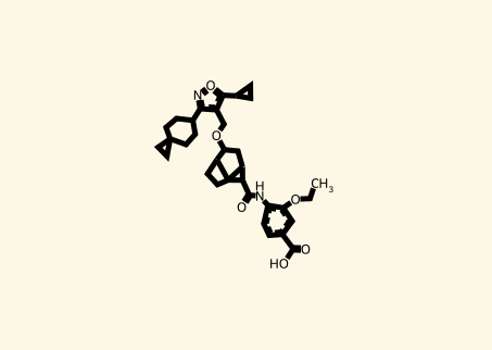 CCOc1cc(C(=O)O)ccc1NC(=O)C1C2CC(OCc3c(C4CCC5(CC4)CC5)noc3C3CC3)C3CCC321